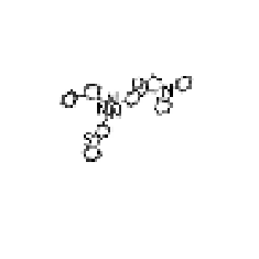 C1=CC2C(c3ccccc3N2c2ccccc2)c2c1oc1cc(-c3nc(-c4cccc(-c5ccccc5)c4)nc(-c4ccc5c(c4)sc4ccccc45)n3)ccc21